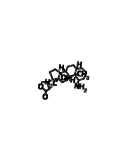 C[C@]12C(N)CCC[C@H]1CC[C@@H]1[C@@H]2CC[C@]2(C)[C@@H](C3=CC(=O)OC3)CC[C@]12O